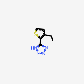 CCc1ccsc1-c1nnn[nH]1